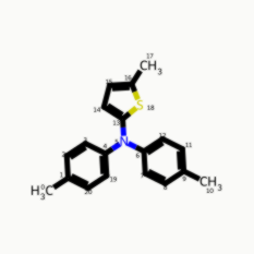 Cc1ccc(N(c2ccc(C)cc2)c2ccc(C)s2)cc1